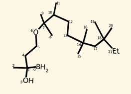 BC(C)(O)CCOC(C)(C)C(C)CCC(C)(C)CC(C)(C)CC